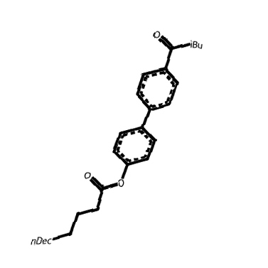 CCCCCCCCCCCCCC(=O)Oc1ccc(-c2ccc(C(=O)C(C)CC)cc2)cc1